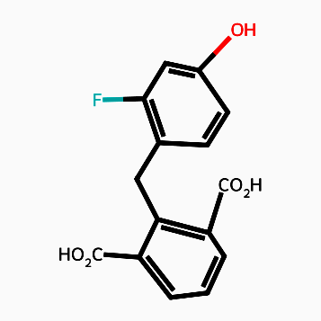 O=C(O)c1cccc(C(=O)O)c1Cc1ccc(O)cc1F